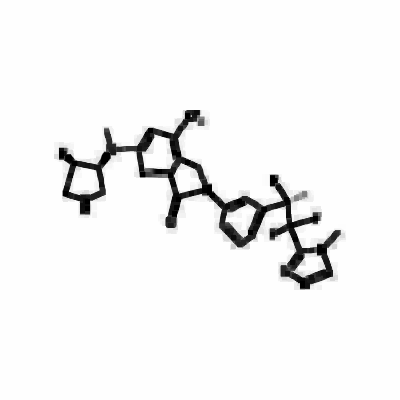 CN(c1cc2c(c(C(F)(F)F)c1)CN(c1cccc([C@@](C)(F)C(F)(F)c3nncn3C)c1)C2=O)[C@H]1CNC[C@H]1F